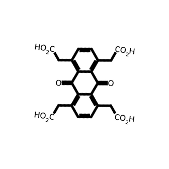 O=C(O)Cc1ccc(CC(=O)O)c2c1C(=O)c1c(CC(=O)O)ccc(CC(=O)O)c1C2=O